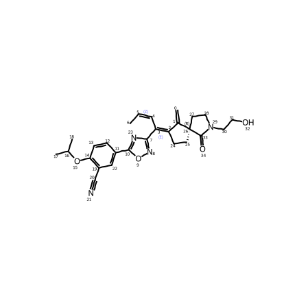 C=C1/C(=C(\C=C/C)c2noc(-c3ccc(OC(C)C)c(C#N)c3)n2)CC[C@@]12CCN(CCO)C2=O